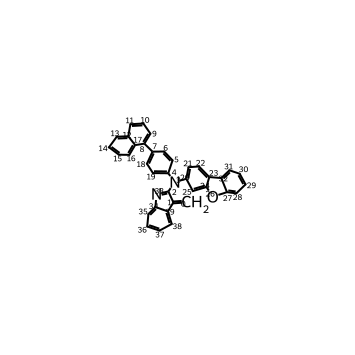 C=C1C(N(c2ccc(-c3cccc4ccccc34)cc2)c2ccc3c(c2)oc2ccccc23)=Nc2ccccc21